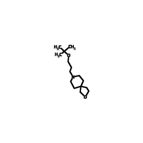 CC(C)(C)OCCCN1CCC2(CCOC2)CC1